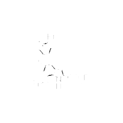 CCOC(=O)c1cc2cc(Oc3ccc(CC)nc3)cc(OC(C)C)c2[nH]1